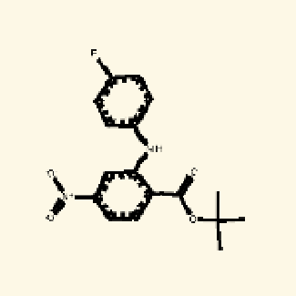 CC(C)(C)OC(=O)c1ccc([N+](=O)[O-])cc1Nc1ccc(F)cc1